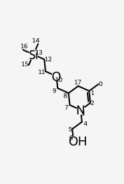 CC1=CN(CCO)CC(COCC[Si](C)(C)C)C1